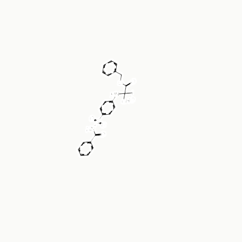 O=CC(I)(Nc1ccc(S(=O)(=O)NC(=O)c2ccccc2)cc1)C(=O)OCc1ccccc1